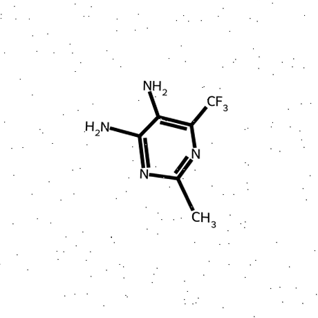 Cc1nc(N)c(N)c(C(F)(F)F)n1